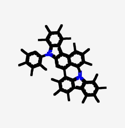 Cc1cc(-n2c3cc(-c4c(C)c(C)c(C)c5c4[nH]c4c(C)c(C)c(C)c(C)c45)c4c(C)c(C)c(C)c(C)c4c3c3c(C)c(C)c(C)c(C)c32)c(C)c(C)c1C